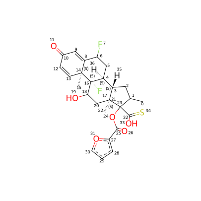 CC1C[C@H]2[C@@H]3CC(F)C4=CC(=O)C=C[C@]4(C)[C@]3(F)C(O)C[C@]2(C)C1(OC(=O)c1ccco1)C(O)=S